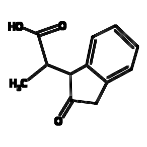 CC(C(=O)O)C1C(=O)Cc2ccccc21